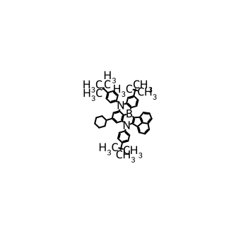 CC(C)(C)c1ccc(N2C3=C(B4c5ccc(C(C)(C)C)cc5N(c5ccc(C(C)(C)C)cc5)c5cc(C6CCCCC6)cc2c54)c2cccc4cccc3c24)cc1